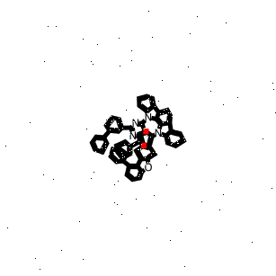 c1ccc(-c2ccc(-n3c4ccccc4c4ccc5c6ccccc6n(-c6nc(-c7cccc(-c8ccccc8)c7)nc(-c7ccc8oc9cccc(-c%10ccccc%10)c9c8c7)n6)c5c43)cc2)cc1